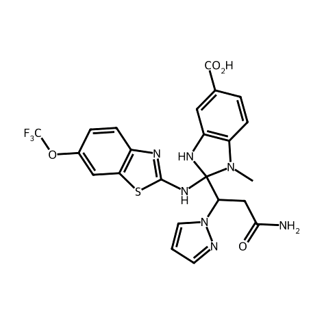 CN1c2ccc(C(=O)O)cc2NC1(Nc1nc2ccc(OC(F)(F)F)cc2s1)C(CC(N)=O)n1cccn1